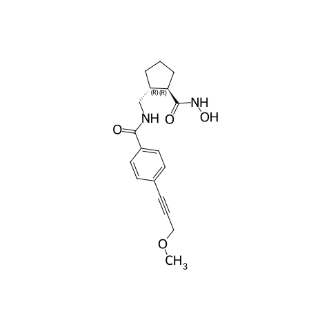 COCC#Cc1ccc(C(=O)NC[C@@H]2CCC[C@H]2C(=O)NO)cc1